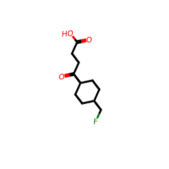 O=C(O)CCC(=O)C1CCC(CF)CC1